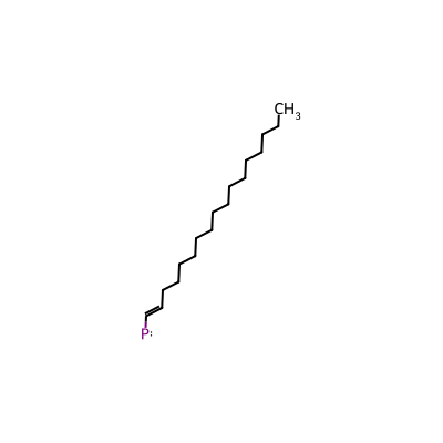 CCCCCCCCCCCCCCCC=C[P]